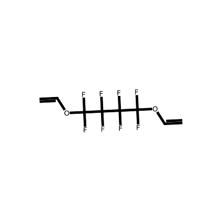 C=COC(F)(F)C(F)(F)C(F)(F)C(F)(F)OC=C